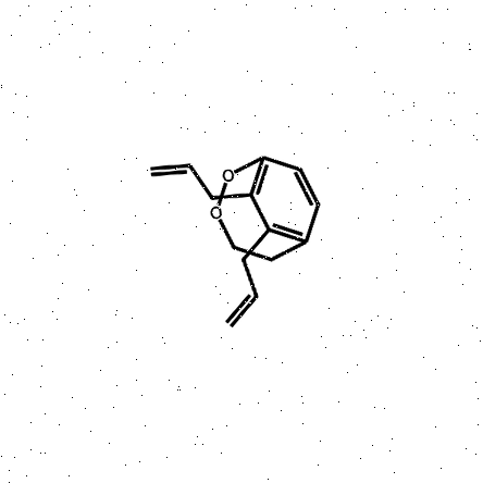 C=CCc1c2ccc(c1CC=C)OOCC2